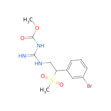 COC(=O)NC(=N)NCC(c1cccc(Br)c1)S(C)(=O)=O